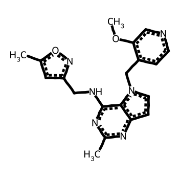 COc1cnccc1Cn1ccc2nc(C)nc(NCc3cc(C)on3)c21